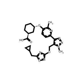 Cc1nc(-c2nnn(C)c2COc2noc(CC3CC3)n2)ccc1O[C@H]1CCC[C@H](C(=O)O)C1